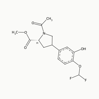 COC(=O)[C@H]1CC(c2ccc(OC(F)F)c(O)c2)CN1C(C)=O